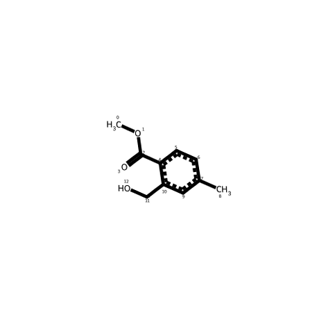 COC(=O)c1ccc(C)cc1[CH]O